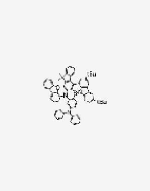 CC(C)(C)c1ccc2c(c1)c1cc(C(C)(C)C)cc3c1n2B1c2ccc(N(c4ccccc4)c4ccccc4)cc2N(c2cccc4c2oc2ccccc24)c2cc4c(c-3c21)-c1ccccc1C4(C)C